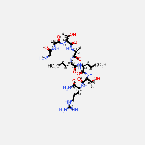 C[C@H](NC(=O)CN)C(=O)N[C@H](C(=O)N[C@@H](C)C(=O)N[C@@H](CCC(=O)O)C(=O)N[C@@H](CCC(=O)O)C(=O)N[C@H](C(=O)N[C@@H](CCCNC(=N)N)C(N)=O)[C@@H](C)O)[C@@H](C)O